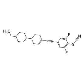 CCC1CCC(C2CC=C(C#Cc3cc(F)c(SC#N)c(F)c3)CC2)CC1